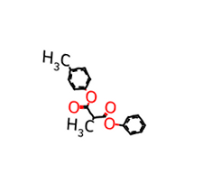 Cc1ccc(OC(=O)C(C)C(=O)Oc2ccccc2)cc1